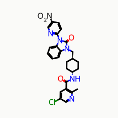 Cc1ncc(Cl)cc1C(=O)N[C@H]1CC[C@H](Cn2c(=O)n(-c3ccc([N+](=O)[O-])cn3)c3ccccc32)CC1